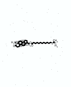 CC(C)SCCCCCCCCCCCC(=O)OCC1CC[C@H]2[C@@H]3CC[C@H]4N(C)C(=O)CC[C@]4(C)[C@H]3CC[C@]12C